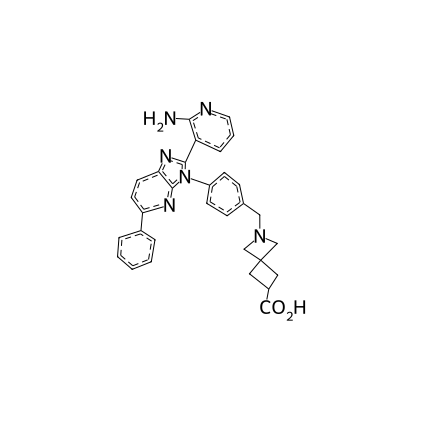 Nc1ncccc1-c1nc2ccc(-c3ccccc3)nc2n1-c1ccc(CN2CC3(CC(C(=O)O)C3)C2)cc1